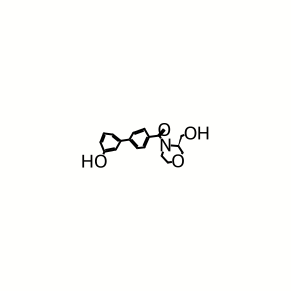 O=C(c1ccc(-c2cccc(O)c2)cc1)N1CCOC[C@@H]1CO